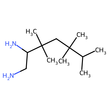 CC(C)C(C)(C)CC(C)(C)C(N)CN